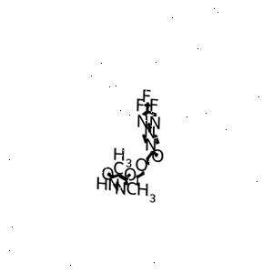 CC[C@H](COCCC(=O)N1CCN(c2ncc(C(F)(F)F)cn2)CC1)Oc1cn[nH]c(=O)c1C